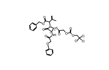 C=C(C)C(C(=O)OCc1ccccc1)N1C(=O)[C@H](NC(=O)COc2ccccc2)[C@@H]1SC(=O)COC(=O)OCC(Cl)(Cl)Cl